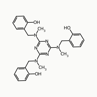 CN(Cc1ccccc1O)c1nc(N(C)Cc2ccccc2O)nc(N(C)Cc2ccccc2O)n1